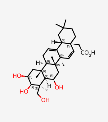 CC1(C)CC[C@]2(CC(=O)O)C=C[C@]3(C)C(=CC[C@@H]4[C@@]5(C)C[C@H](O)[C@H](O)[C@](C)(CO)[C@@H]5[C@H](O)C[C@]43C)[C@@H]2C1